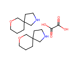 C1COCC2(C1)CCNC2.C1COCC2(C1)CCNC2.O=C(O)C(=O)O